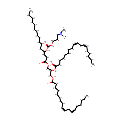 CCCCC/C=C\C/C=C\CCCCCCCC(=O)OCC(COC(=O)CCC(CCCCCCCCCCCC)OC(=O)OCCCN(C)C)OC(=O)CCCCCCC/C=C\C/C=C\CCCCC